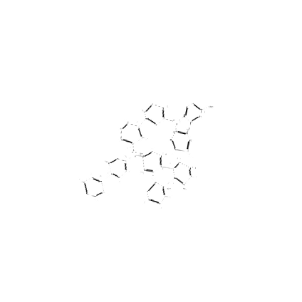 Cc1ccc2c(c1)c1cc(C)ccc1n2-c1cccc(-c2cccc(N(c3ccc(-c4ccccc4)cc3)c3ccc(-c4ccccc4-c4ccccc4)cc3)c2)c1